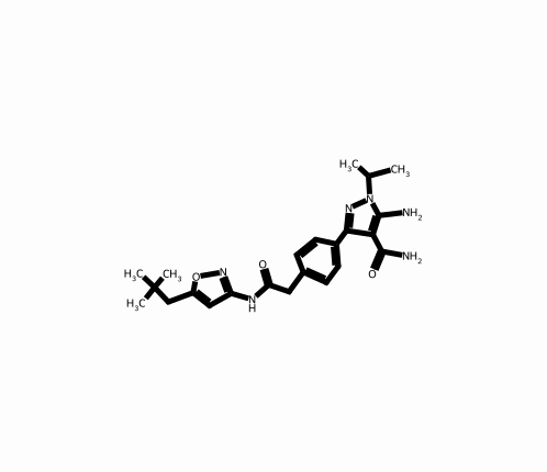 CC(C)n1nc(-c2ccc(CC(=O)Nc3cc(CC(C)(C)C)on3)cc2)c(C(N)=O)c1N